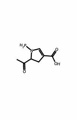 CC(=O)C1CC(C(=O)O)=CN1P